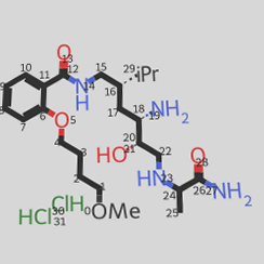 COCCCCOc1ccccc1C(=O)NC[C@@H](C[C@H](N)[C@@H](O)CNC(C)C(N)=O)C(C)C.Cl.Cl